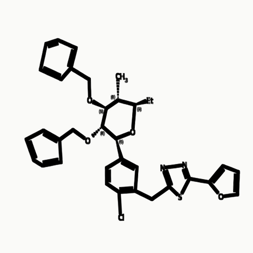 CC[C@H]1O[C@@H](c2ccc(Cl)c(Cc3nnc(-c4ccco4)s3)c2)[C@H](OCc2ccccc2)[C@@H](OCc2ccccc2)[C@@H]1C